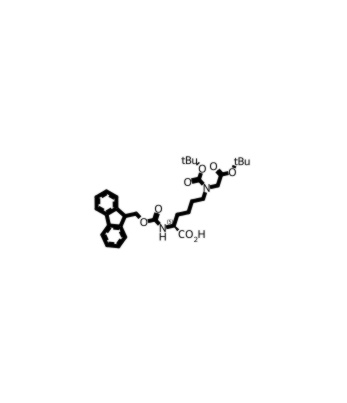 CC(C)(C)OC(=O)CN(CCCC[C@H](NC(=O)OCC1c2ccccc2-c2ccccc21)C(=O)O)C(=O)OC(C)(C)C